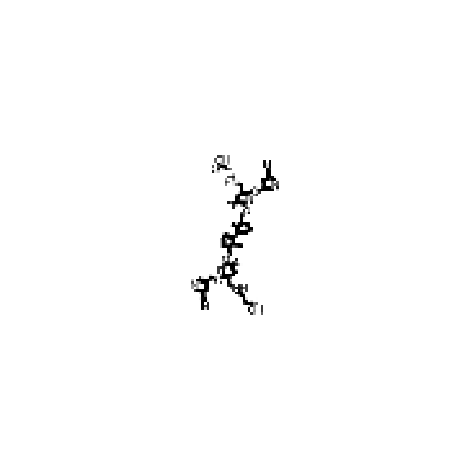 Cc1c(COc2nc(OCc3cncc(C#N)c3)c(CNCCCC(=O)O)cc2Cl)cccc1-c1cccc(COc2nc(OCc3cncc(C#N)c3)c(CNCCCC(=O)O)cc2Cl)c1C